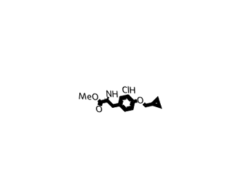 COC(=O)[C@@H](N)Cc1ccc(OCC2CC2)cc1.Cl